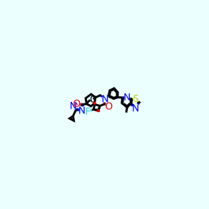 Cc1cc(-c2cccc(N(CC34CCC(c5nc(C6CC6)no5)(CC3)CC4)C(=O)C34CC(F)(C3)C4)c2)nc2scnc12